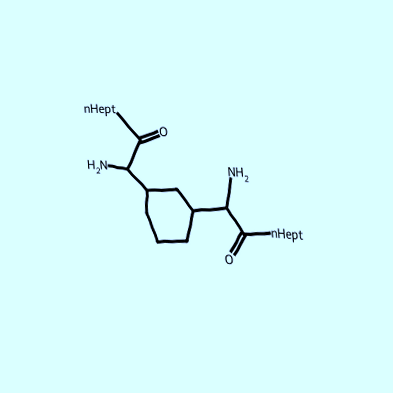 CCCCCCCC(=O)C(N)C1CCCC(C(N)C(=O)CCCCCCC)C1